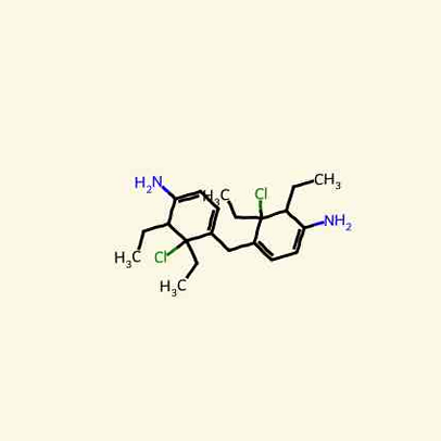 CCC1C(N)=CC=C(CC2=CC=C(N)C(CC)C2(Cl)CC)C1(Cl)CC